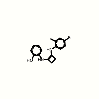 Cc1cc(Br)ccc1NC1=C(Nc2ccccc2O)CC1